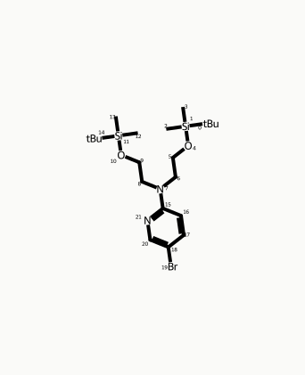 CC(C)(C)[Si](C)(C)OCCN(CCO[Si](C)(C)C(C)(C)C)c1ccc(Br)cn1